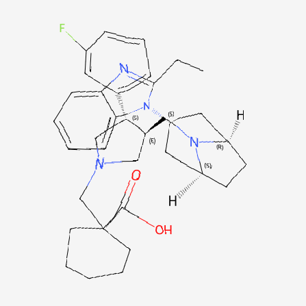 CCc1nc2ccccc2n1[C@@H]1C[C@H]2CC[C@@H](C1)N2C[C@H]1CN(CC2(C(=O)O)CCCCC2)C[C@@H]1c1cccc(F)c1